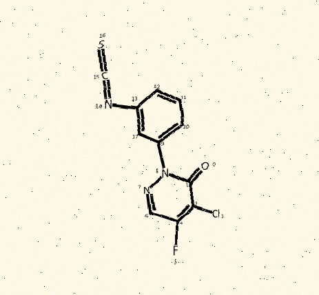 O=c1c(Cl)c(F)cnn1-c1cccc(N=C=S)c1